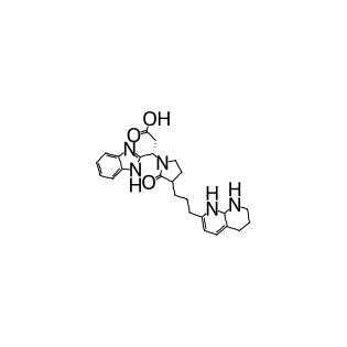 O=C(O)C[C@@H](c1nc2ccccc2[nH]1)N1CCC(CCCC2=CC=C3CCCNC3N2)C1=O